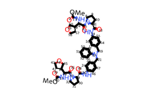 COC(=O)N[C@H](C(=O)N1CCC[C@H]1C(=O)Nc1ccc(CN(Cc2ccc(NC(=O)[C@@H]3CCCN3C(=O)[C@@H](NC(=O)OC)[C@H]3CCOC3)cc2)c2ccccc2)cc1)[C@H]1CCOC1